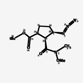 CON(C)C(=O)[C@@H]1[C@H](N=[N+]=[N-])CCN1C(=O)OC(C)(C)C